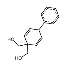 OCC1(CO)C=CC(c2ccccc2)C=C1